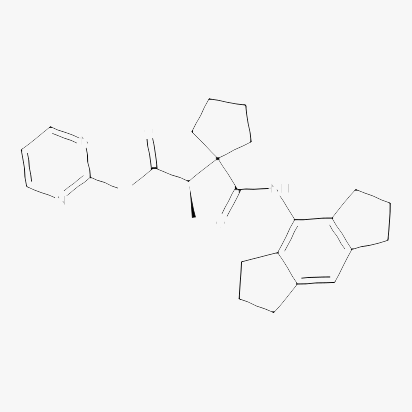 C[C@@H](C(=O)Oc1ncccn1)C1(C(=O)Nc2c3c(cc4c2CCC4)CCC3)CCCC1